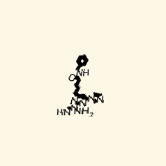 N=CN(N)c1nc(CCCCC(=O)NCc2ccccc2)cc(-n2ccnc2)n1